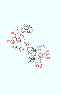 CC[C@@H]1CC(C(=O)O[C@H]2C[C@H]3[C@@H]([C@H](OC(=O)C4C[C@@H](CC)[C@@H](OC5O[C@@H](C)C(O)[C@H](O)[C@@H]5O)[C@H](O[C@@H]5O[C@@H](CO)C(O)C(O[C@@H](CC6CCCCC6)C(=O)O)C5NC(C)=O)C4)C[C@@H]4C[C@@H](N)CC[C@@]43C)[C@@H]3CC[C@H]([C@H](C)CCC(=O)OC)[C@@]23C)C[C@@H](O[C@@H]2O[C@@H](CO)C(O)C(O[C@@H](CC3CCCCC3)C(=O)O)C2NC(C)=O)[C@@H]1OC1O[C@@H](C)[C@H](O)C(O)[C@@H]1O